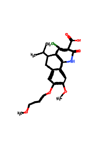 COCCCOc1cc2c(cc1OC)-c1[nH]c(=O)c(C(=O)O)c(Cl)c1C(C(C)C)C2